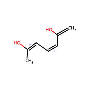 C=C(O)/C=C\C=C(/C)O